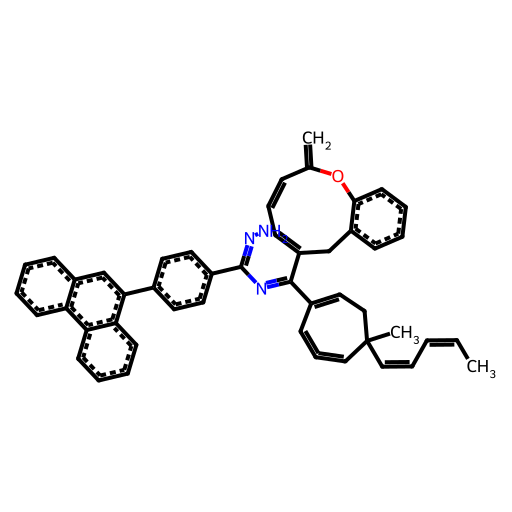 C=C1\C=C/C=C(/C(=N\C(=N/N)c2ccc(-c3cc4ccccc4c4ccccc34)cc2)C2=CCC(C)(/C=C\C=C/C)C=C=C2)Cc2ccccc2O1